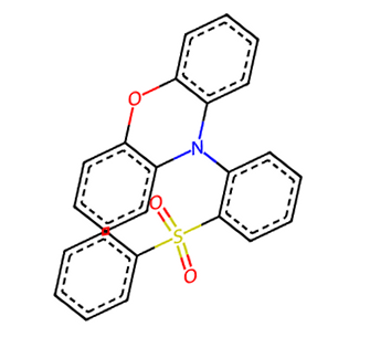 O=S(=O)(c1ccccc1)c1ccccc1N1c2ccccc2Oc2ccccc21